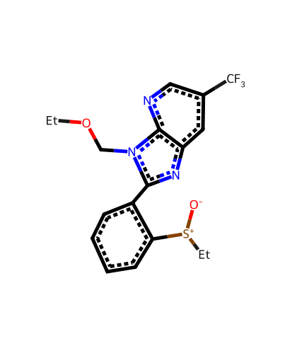 CCOCn1c(-c2ccccc2[S+]([O-])CC)nc2cc(C(F)(F)F)cnc21